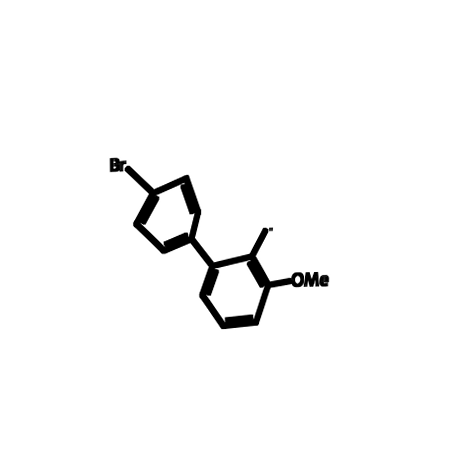 [CH2]c1c(OC)cccc1-c1ccc(Br)cc1